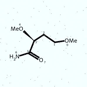 COC[CH][C@H](OC)C(N)=O